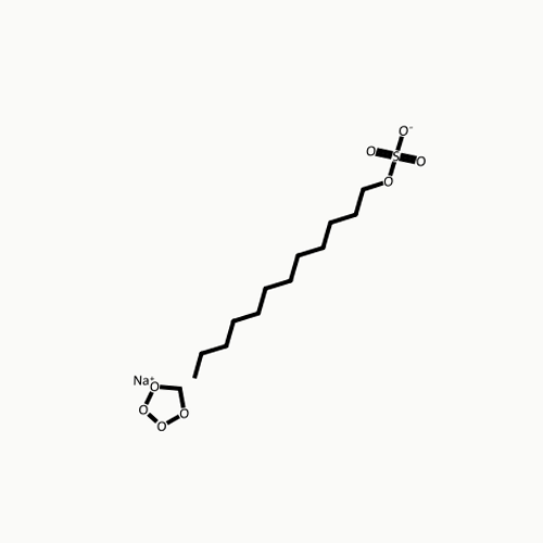 C1OOOO1.CCCCCCCCCCCCOS(=O)(=O)[O-].[Na+]